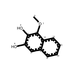 COc1c(O)c(O)cc2ccccc12